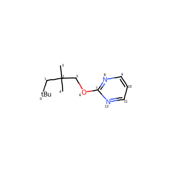 CC(C)(C)CC(C)(C)COc1ncccn1